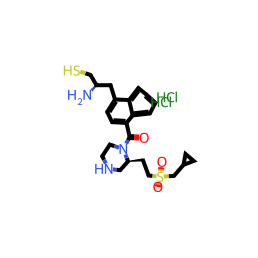 Cl.Cl.N[C@@H](CS)Cc1ccc(C(=O)N2CCNC[C@@H]2CCS(=O)(=O)CC2CC2)c2ccccc12